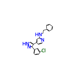 Clc1cccc(-c2n[nH]cc2-c2ccnc(NCCc3ccccc3)c2)c1